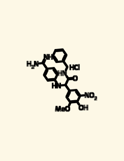 COc1cc(C(Nc2ccc(C(=N)N)cc2)C(=O)NCc2ccccc2)cc([N+](=O)[O-])c1O.Cl